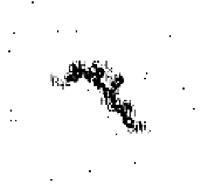 COc1cc(CN2CCN(C3CC4(C3)CN(c3ccc(C(=O)NS(=O)(=O)c5ccc(NCC6CCC(C)(O)CC6)c([N+](=O)[O-])c5)c(Oc5cnc6[nH]ccc6c5)c3)C4)[C@H](c3ccccc3C(C)C)C2)cc2c1OC(C)(C)CC2